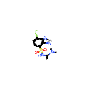 CC(NS(=O)(=O)c1ccc(F)c2n[se]nc12)N(C)C